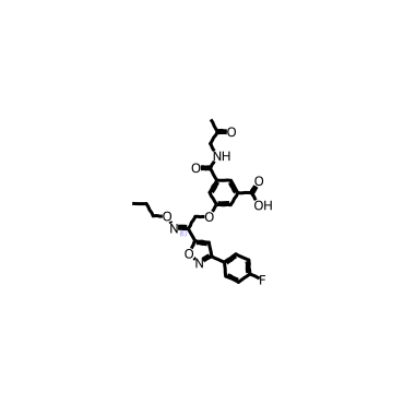 CCCO/N=C(\COc1cc(C(=O)O)cc(C(=O)NCC(C)=O)c1)c1cc(-c2ccc(F)cc2)no1